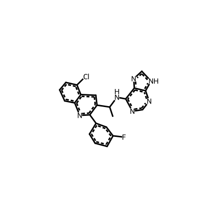 CC(Nc1ncnc2[nH]cnc12)c1cc2c(Cl)cccc2nc1-c1cccc(F)c1